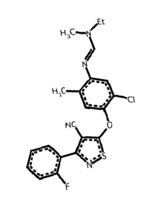 CCN(C)C=Nc1cc(Cl)c(Oc2snc(-c3ccccc3F)c2C#N)cc1C